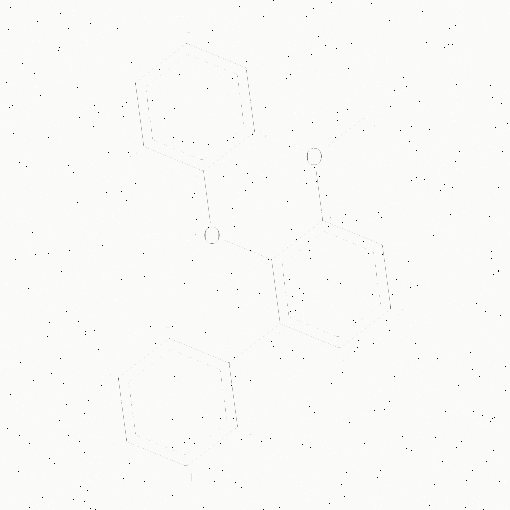 COc1cccc(-c2ccccc2)c1Oc1ccccc1